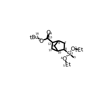 CCO[Si](C)(OCC)C1CC2CC1CC2C(=O)OC(C)(C)C